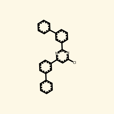 Clc1cc(-c2cccc(-c3ccccc3)c2)nc(-c2cccc(-c3ccccc3)c2)n1